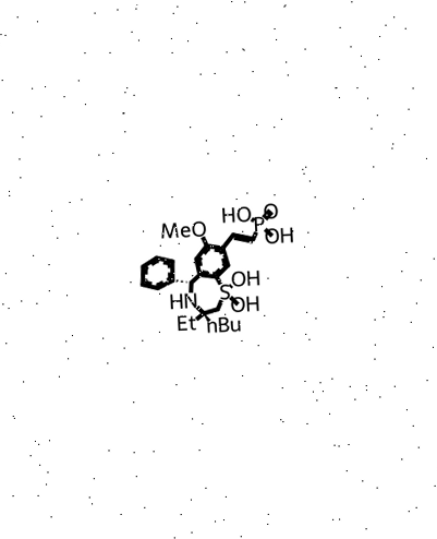 CCCC[C@]1(CC)CS(O)(O)c2cc(C=CP(=O)(O)O)c(OC)cc2[C@@H](c2ccccc2)N1